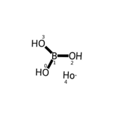 OB(O)O.[Ho]